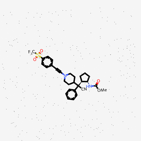 COC(=O)N[C@H]1CCC[C@@H]1C(C#N)(c1ccccc1)C1CCN(C#Cc2ccc(S(=O)(=O)C(F)(F)F)cc2)CC1